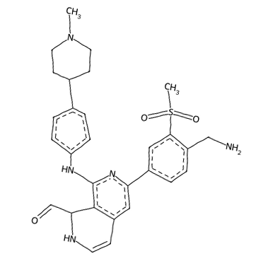 CN1CCC(c2ccc(Nc3nc(-c4ccc(CN)c(S(C)(=O)=O)c4)cc4c3C(C=O)NC=C4)cc2)CC1